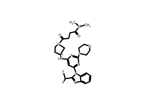 CN(C)C(=O)CCC(=O)N1CC[C@H](Nc2cc(-n3c(C(F)F)nc4ccccc43)nc(N3CCOCC3)n2)C1